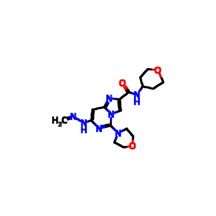 C=NNc1cc2nc(C(=O)NC3CCOCC3)cn2c(N2CCOCC2)n1